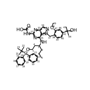 CCCC(CCO[Si](c1ccccc1)(c1ccccc1)C(C)(C)C)Nc1nc(NC(=O)O)nc2cnn(Cc3ccc(C(C)(C)O)cc3OC)c12